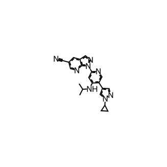 CC(C)Nc1cc(-n2ncc3cc(C#N)cnc32)ncc1-c1cnn(C2CC2)c1